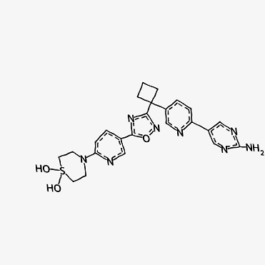 Nc1ncc(-c2ccc(C3(c4noc(-c5ccc(N6CCS(O)(O)CC6)nc5)n4)CCC3)cn2)cn1